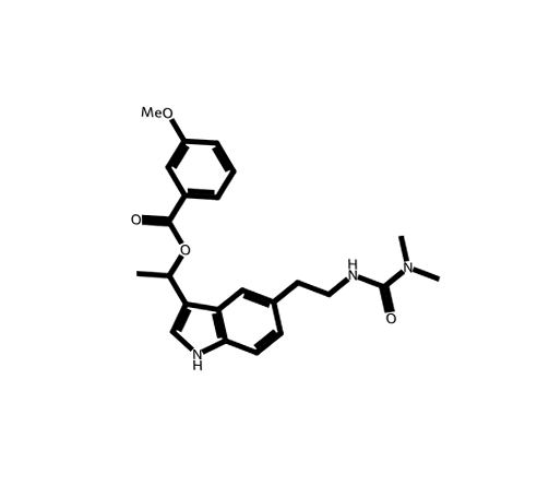 COc1cccc(C(=O)OC(C)c2c[nH]c3ccc(CCNC(=O)N(C)C)cc23)c1